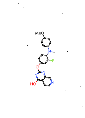 COc1ccc(N(C)c2ccc(Oc3nc(O)c4ccncc4n3)cc2F)cc1